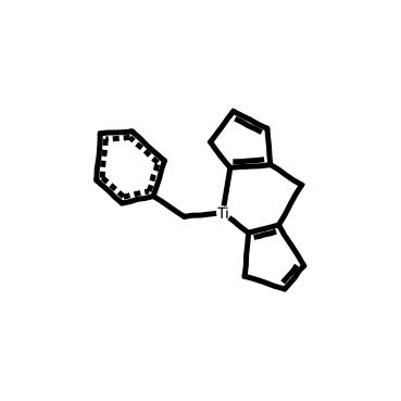 C1=CC2=[C](C1)[Ti]([CH2]c1ccccc1)[C]1=C(C=CC1)C2